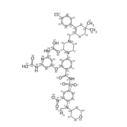 CN(c1ccc(S(=O)(=O)NC(=O)c2ccc(N3CCN(CC4=C(c5ccc(Cl)cc5)CC(C)(C)CC4)CC3)cc2Oc2cc(NC(=O)O)nc(NC(=O)O)c2)cc1[N+](=O)[O-])C1CCOCC1